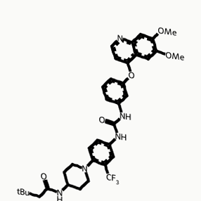 COc1cc2nccc(Oc3cccc(NC(=O)Nc4ccc(N5CCC(NC(=O)CC(C)(C)C)CC5)c(C(F)(F)F)c4)c3)c2cc1OC